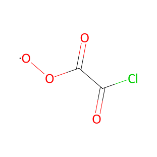 [O]OC(=O)C(=O)Cl